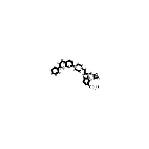 O=C(O)c1ccc2nc(CN3CCN(c4ccc5c(n4)OC(c4ccccc4)CC5)CC3)n(C[C@@H]3CCO3)c2c1